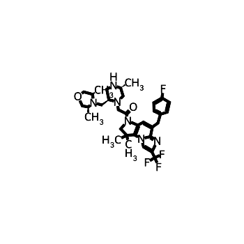 C[C@@H]1CN(CC(=O)N2CC(C)(C)c3c2cc(Cc2ccc(F)cc2)c2nc(C(F)(F)F)cn32)[C@@H](CN2[C@@H](C)COC[C@@H]2C)CN1